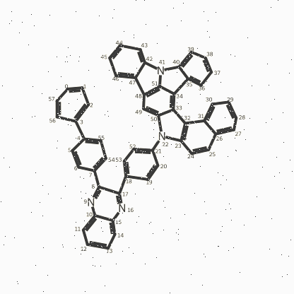 c1ccc(-c2ccc(-c3nc4ccccc4nc3-c3ccc(-n4c5ccc6ccccc6c5c5c6c7ccccc7n7c8ccccc8c(cc54)c67)cc3)cc2)cc1